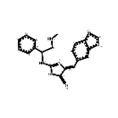 CNCC(NC1=N/C(=C\c2ccc3ncsc3c2)C(=O)N1)c1ccccc1